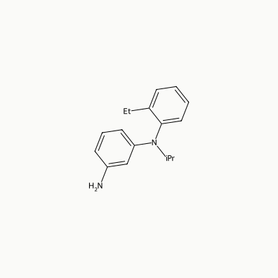 CCc1ccccc1N(c1cccc(N)c1)C(C)C